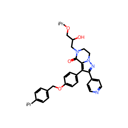 CC(C)OCC(O)CN1CCn2nc(-c3ccncc3)c(-c3ccc(OCc4ccc(C(C)C)cc4)cc3)c2C1=O